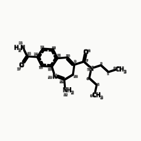 CCCN(CCC)C(=O)C1=Cc2ccc(C(N)=O)cc2N=C(N)C1